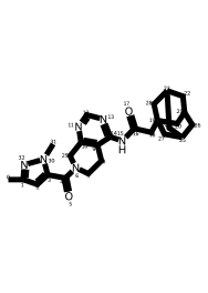 Cc1cc(C(=O)N2CCc3c(ncnc3NC(=O)CC34CC5CC(CC(C5)C3)C4)C2)n(C)n1